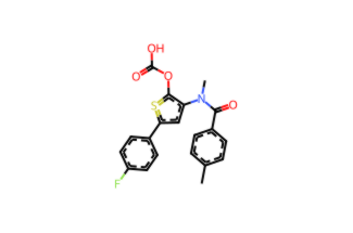 Cc1ccc(C(=O)N(C)c2cc(-c3ccc(F)cc3)sc2OC(=O)O)cc1